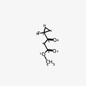 COC(=O)CC(=O)C1(F)CC1